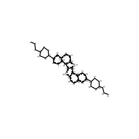 CCCC1CCC(c2ccc3c(ccc4sc5c(sc6ccc7cc(C8CCC(CCC)CC8)ccc7c65)c43)c2)CC1